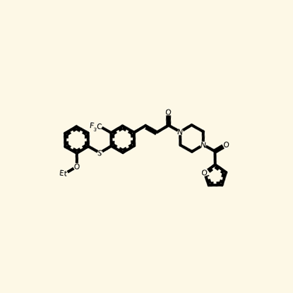 CCOc1ccccc1Sc1ccc(C=CC(=O)N2CCN(C(=O)c3ccco3)CC2)cc1C(F)(F)F